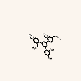 CCc1ccc(-c2nc(-c3ccc(O)cc3O)nc(-c3ccc(CC)cc3CC)n2)c(CC)c1